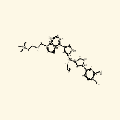 C[Si](C)(C)CCOCn1ccc2c(-c3cnn([C@@H](CC#N)[C@H]4CCN(c5ccc(F)c(Cl)n5)C4)c3)ncnc21